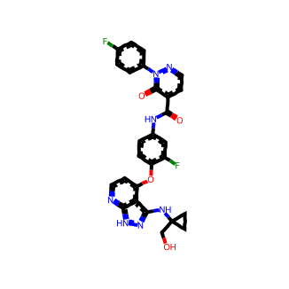 O=C(Nc1ccc(Oc2ccnc3[nH]nc(NC4(CO)CC4)c23)c(F)c1)c1ccnn(-c2ccc(F)cc2)c1=O